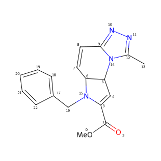 COC(=O)C1=CC2C(C=Cc3nnc(C)n32)N1Cc1ccccc1